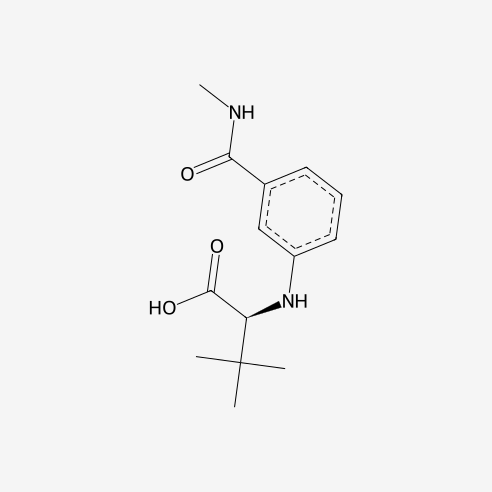 CNC(=O)c1cccc(N[C@H](C(=O)O)C(C)(C)C)c1